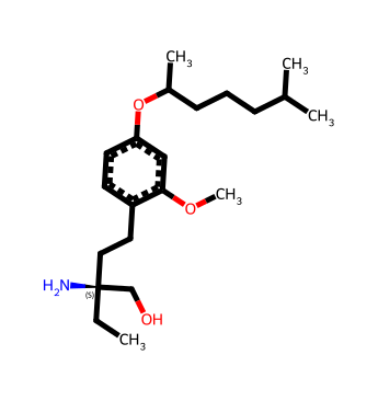 CC[C@@](N)(CO)CCc1ccc(OC(C)CCCC(C)C)cc1OC